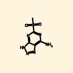 CS(=O)(=O)c1nc(N)c2nn[nH]c2n1